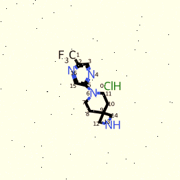 Cl.FC(F)(F)c1cnc(N2CCC3(CC2)CNC3)cn1